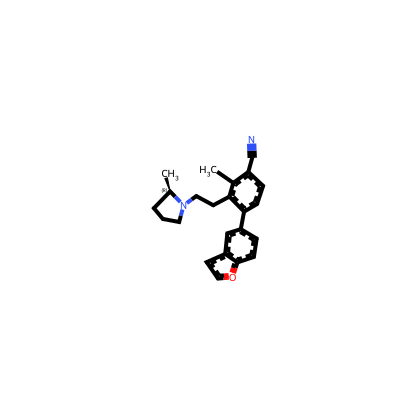 Cc1c(C#N)ccc(-c2ccc3occc3c2)c1CCN1CCC[C@H]1C